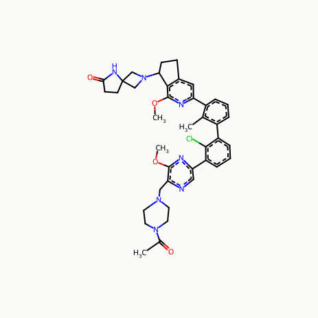 COc1nc(-c2cccc(-c3cccc(-c4cc5c(c(OC)n4)C(N4CC6(CCC(=O)N6)C4)CC5)c3C)c2Cl)cnc1CN1CCN(C(C)=O)CC1